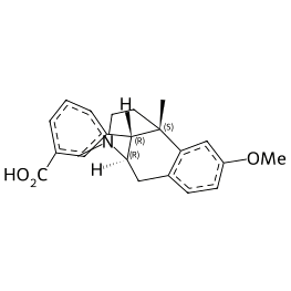 COc1ccc2c(c1)[C@@]1(C)CCN(C)[C@H](C2)[C@@H]1c1cccc(C(=O)O)c1